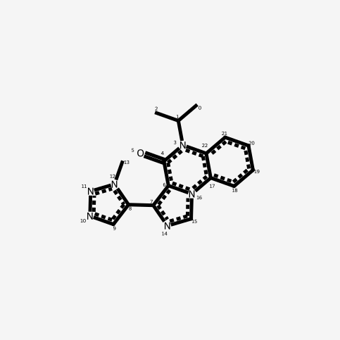 CC(C)n1c(=O)c2c(-c3cnnn3C)ncn2c2ccccc21